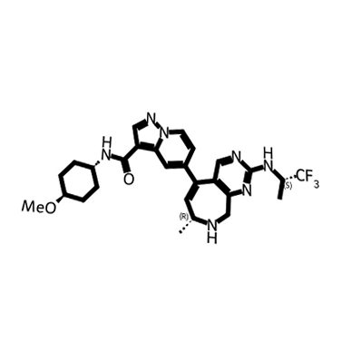 CO[C@H]1CC[C@H](NC(=O)c2cnn3ccc(C4=C[C@@H](C)NCc5nc(N[C@@H](C)C(F)(F)F)ncc54)cc23)CC1